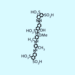 COc1cc(N=Nc2ccc(N=Nc3ccc4cc(S(=O)(=O)O)cc(S(=O)(=O)O)c4c3)c(C)c2)c(C)cc1N=Nc1c(S(=O)(=O)O)cc2cc(-n3nc4ccc5c(S(=O)(=O)O)cc(S(=O)(=O)O)cc5c4n3)ccc2c1O